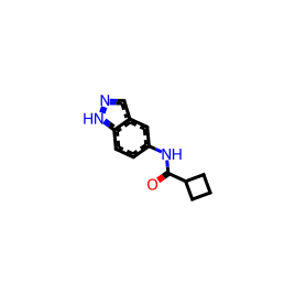 O=C(Nc1ccc2[nH]ncc2c1)C1CCC1